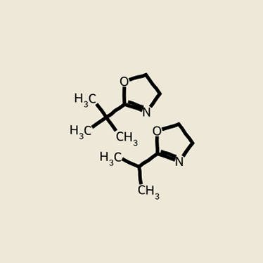 CC(C)(C)C1=NCCO1.CC(C)C1=NCCO1